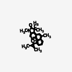 C=C1C(C)C1(C)c1cccc2c(C)cc3c4c(cnc3c12)N(C)C(=O)C4(C)C